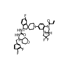 C=CC(=O)N1C[C@@H]2CC(F)(F)CN2c2cc(N3CCC4(CC3)C[C@H](NC(=O)N[C@H](Cc3ccc(F)c(F)c3)C3CCOCC3)c3ccc(F)cc34)ccc21